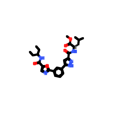 CCC(CC)NC(=O)c1cnc(-c2cccc(-c3cc(C(=O)N[C@@H](CC(C)C)C(=O)OC)n[nH]3)c2)o1